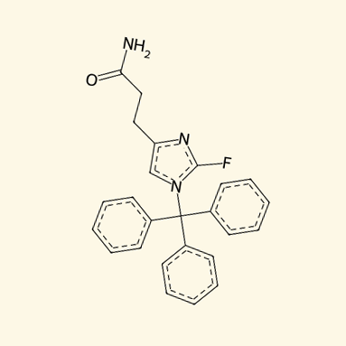 NC(=O)CCc1cn(C(c2ccccc2)(c2ccccc2)c2ccccc2)c(F)n1